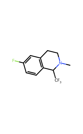 CN1CCc2cc(F)ccc2C1C(F)(F)F